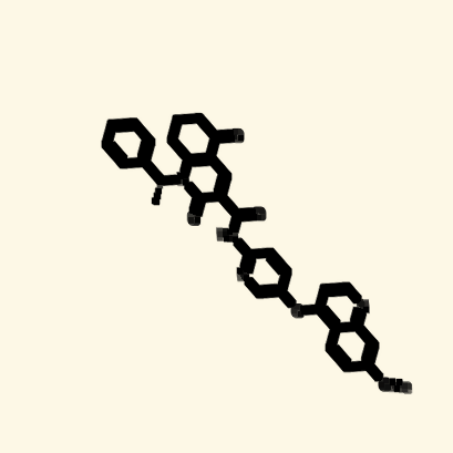 COc1ccc2c(Oc3ccc(NC(=O)c4cc5c(n([C@H](C)c6ccccc6)c4=O)CCCC5=O)nc3)ccnc2c1